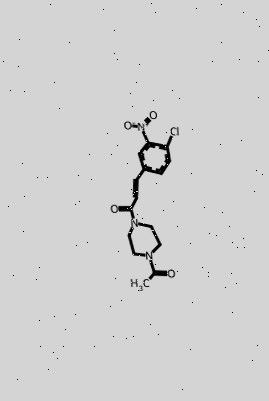 CC(=O)N1CCN(C(=O)/C=C/c2ccc(Cl)c([N+](=O)[O-])c2)CC1